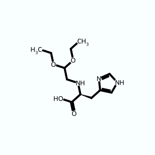 CCOC(CN[C@@H](Cc1c[nH]cn1)C(=O)O)OCC